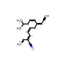 C#C/C=C(\C=C/CC(C)C)C/C=C\C=C(\C#N)C=C